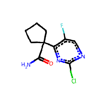 NC(=O)C1(c2nc(Cl)ncc2F)CCCC1